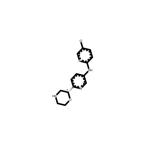 Clc1ccc(Nc2ccc([C@H]3CNCCO3)nc2)nc1